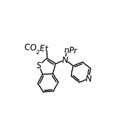 CCCN(c1ccncc1)c1c(C(=O)OCC)sc2ccccc12